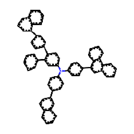 c1ccc(-c2cc(N(c3ccc(-c4ccc5ccccc5c4)cc3)c3ccc(-c4cc5ccccc5c5ccccc45)cc3)ccc2-c2ccc(-c3cccc4ccccc34)cc2)cc1